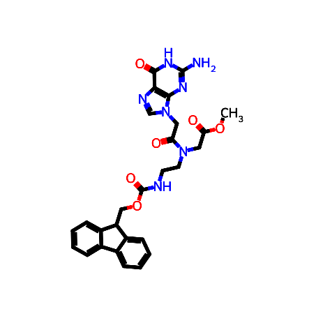 COC(=O)CN(CCNC(=O)OCC1c2ccccc2-c2ccccc21)C(=O)Cn1cnc2c(=O)[nH]c(N)nc21